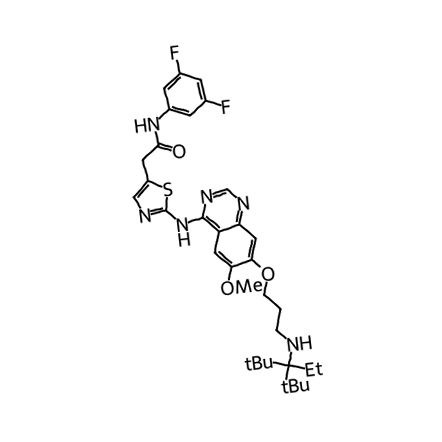 CCC(NCCCOc1cc2ncnc(Nc3ncc(CC(=O)Nc4cc(F)cc(F)c4)s3)c2cc1OC)(C(C)(C)C)C(C)(C)C